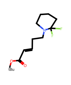 CC(C)(C)OC(=O)/C=C/CCN1CCCCC1(F)F